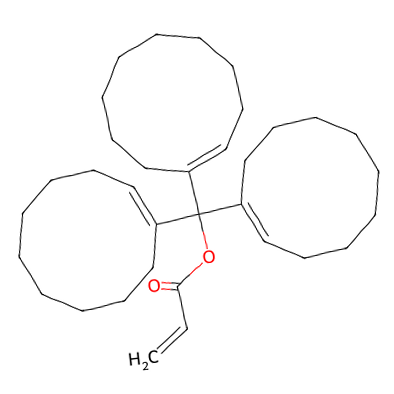 C=CC(=O)OC(C1=CCCCCCCCC1)(C1=CCCCCCCCC1)C1=CCCCCCCCC1